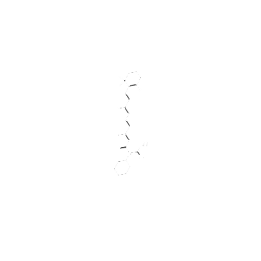 CC1=C(/C=C/C(C)=C/C=C/C(C)=C/C(=O)N(C(=O)S)C2CCCCC2)C(C)(C)CCC1